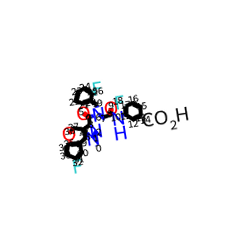 Cn1nc(C(=O)N(CC(=O)Nc2cc(C(=O)O)ccc2F)Cc2ccccc2F)c2c1-c1cc(F)ccc1OC2